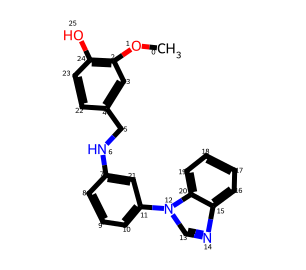 COc1cc(CNc2cccc(-n3cnc4ccccc43)c2)ccc1O